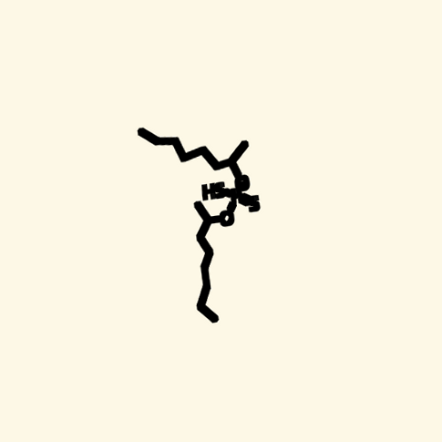 CCCCCCC(C)OP(=S)(S)OC(C)CCCCCC